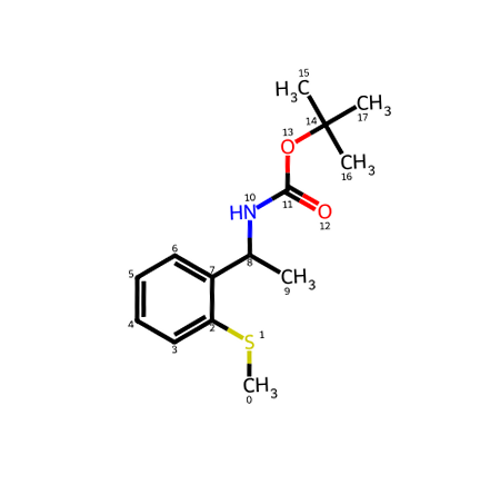 CSc1ccccc1C(C)NC(=O)OC(C)(C)C